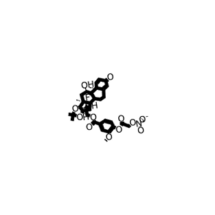 COc1cc(C(=O)OCC(=O)[C@@]23OC(C)(C)O[C@@H]2C[C@H]2C4CCC5=CC(=O)C=C[C@]5(C)[C@@]4(F)[C@@H](O)C[C@@]23C)ccc1OC(=O)CO[N+](=O)[O-]